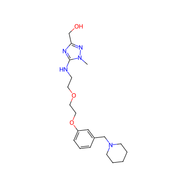 Cn1nc(CO)nc1NCCOCCOc1cccc(CN2CCCCC2)c1